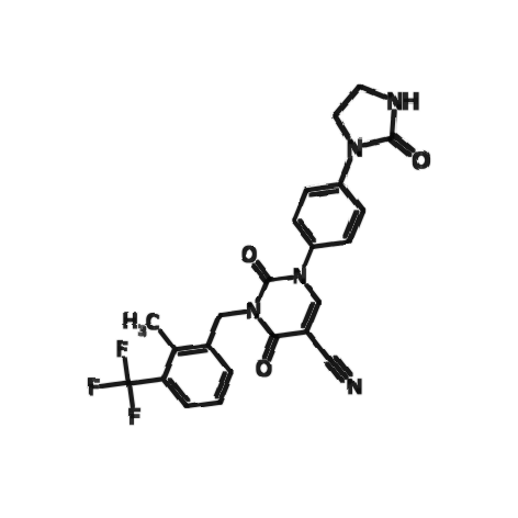 Cc1c(Cn2c(=O)c(C#N)cn(-c3ccc(N4CCNC4=O)cc3)c2=O)cccc1C(F)(F)F